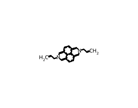 C=CCN1C=c2ccc3c4c(ccc(c24)=C1)=CN(CC=C)C=3